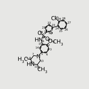 COc1ccc(N2CC(C)NC(C)C2)cc1NS(=O)(=O)c1ccc(-c2ccccc2Cl)s1